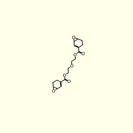 O=C(OCCOCCOC(=O)C1=CC2OC2CC1)C1=CC2OC2CC1